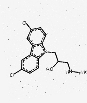 CCCCCCNCC(O)Cn1c2ccc(Cl)cc2c2cc(Cl)ccc21